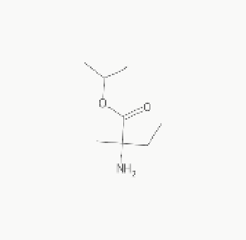 CCC(C)(N)C(=O)OC(C)C